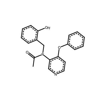 CC(=O)N(Cc1ccccc1O)c1cnccc1Oc1ccccc1